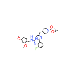 COc1ccc(CNc2nc3c(F)cccc3c3nc(CC4=CCN(C(=O)OC(C)(C)C)CC4)cn23)c(OC)c1